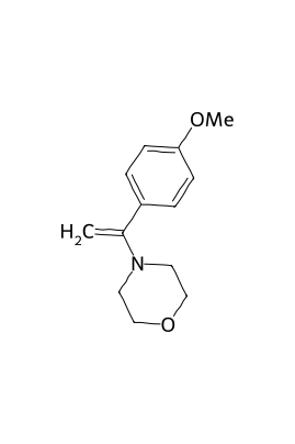 C=C(c1ccc(OC)cc1)N1CCOCC1